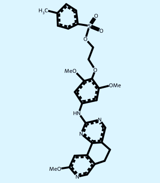 COc1cc2c(cn1)CCc1cnc(Nc3cc(OC)c(OCCOS(=O)(=O)c4ccc(C)cc4)c(OC)c3)nc1-2